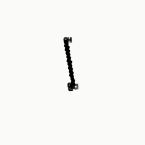 OCCCCCCCCCCCCCCCCCCCCCCCC[Si](Cl)(Cl)Cl